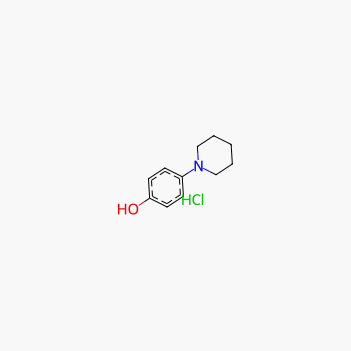 Cl.Oc1ccc(N2CCCCC2)cc1